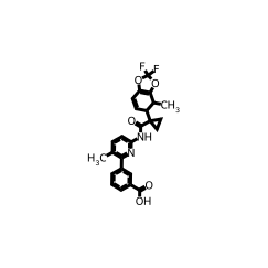 Cc1ccc(NC(=O)C2(C3C=CC4=C(OC(F)(F)O4)C3C)CC2)nc1-c1cccc(C(=O)O)c1